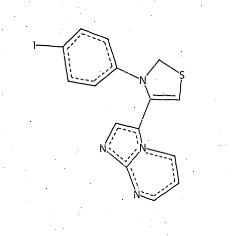 Ic1ccc(N2CSC=C2c2cnc3ncccn23)cc1